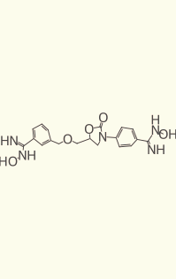 N=C(NO)c1ccc(N2CC(COCc3cccc(C(=N)NO)c3)OC2=O)cc1